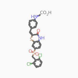 O=C(O)CNc1ccc(C=C2Sc3cc(S(=O)(=O)Cc4c(Cl)cccc4Cl)ccc3NC2=O)cc1